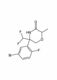 CC1OCC(c2cc(Br)ccc2F)(C(F)F)NC1=O